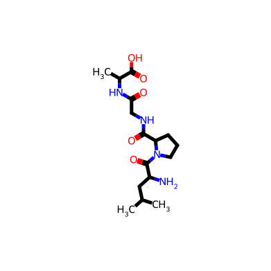 CC(C)CC(N)C(=O)N1CCCC1C(=O)NCC(=O)NC(C)C(=O)O